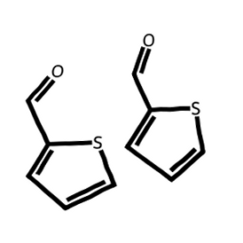 O=Cc1cccs1.O=Cc1cccs1